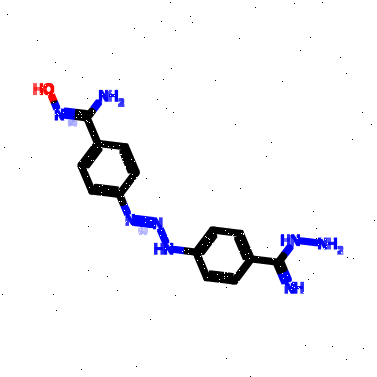 N=C(NN)c1ccc(N/N=N/c2ccc(/C(N)=N/O)cc2)cc1